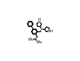 CC(C)(C)P(Cc1ccc(-c2ccccc2)cc1CP(C1CCNC1)C1CCNC1)C(C)(C)C